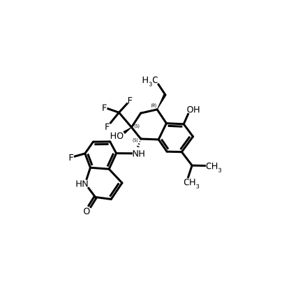 CC[C@@H]1C[C@@](O)(C(F)(F)F)[C@@H](Nc2ccc(F)c3[nH]c(=O)ccc23)c2cc(C(C)C)cc(O)c21